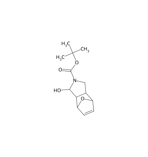 CC(C)(C)OC(=O)N1CC2C3C=CC(O3)C2C1O